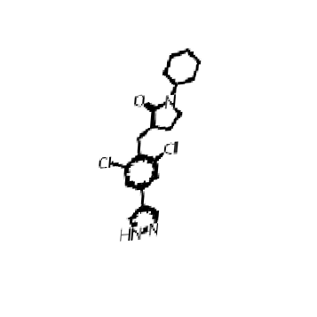 O=C1C(Cc2c(Cl)cc(-c3cn[nH]c3)cc2Cl)CCN1C1CCCCC1